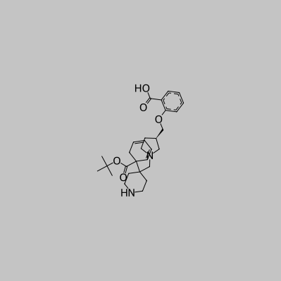 CC(C)(C)OC(=O)C1(C2(CN3CC[C@@H](COc4ccccc4C(=O)O)C3)CCNCC2)C=CC=CC1